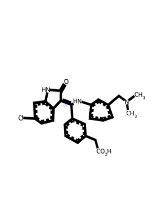 CN(C)Cc1cccc(N/C(=C2\C(=O)Nc3cc(Cl)ccc32)c2cccc(CC(=O)O)c2)c1